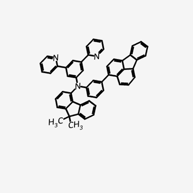 CC1(C)c2ccccc2-c2c(N(c3cc(-c4ccccn4)cc(-c4ccccn4)c3)c3cccc(-c4ccc5c6c(cccc46)-c4ccccc4-5)c3)cccc21